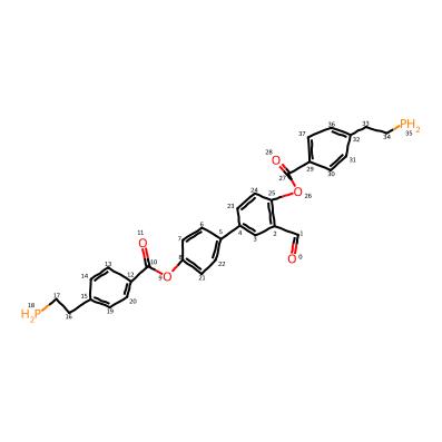 O=Cc1cc(-c2ccc(OC(=O)c3ccc(CCP)cc3)cc2)ccc1OC(=O)c1ccc(CCP)cc1